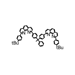 CC(C)(C)c1ccc(-c2ccc3ccc4ccc(-c5ccc(C(C)(c6ccccc6)c6ccc(-c7ccc8ccc9ccc(-c%10ccc(C(C)(C)C)cc%10)nc9c8n7)cc6)cc5)nc4c3n2)cc1